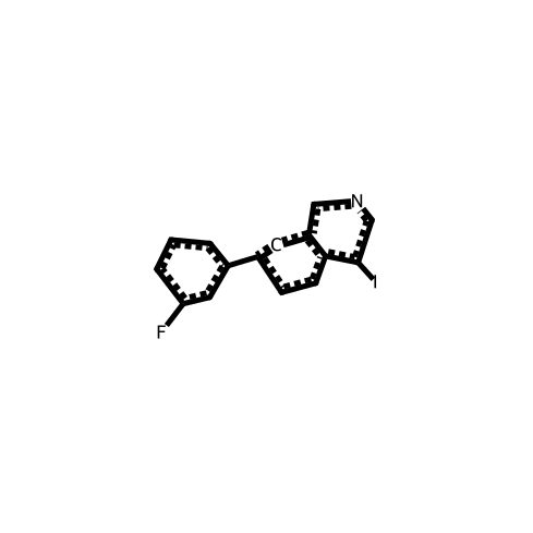 Fc1cccc(-c2ccc3c(I)cncc3c2)c1